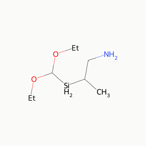 CCOC(OCC)[SiH2]C(C)CN